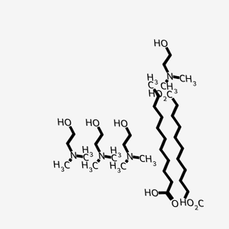 CCCCCCCCCCC(=O)O.CN(C)CCO.CN(C)CCO.CN(C)CCO.CN(C)CCO.O=C(O)CCCCCCCCCC(=O)O